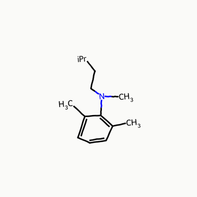 Cc1cccc(C)c1N(C)CCC(C)C